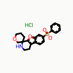 Cl.O=S(=O)(c1ccccc1)c1ccc2c3c(oc2c1)C1(CCCOC1)NCC3